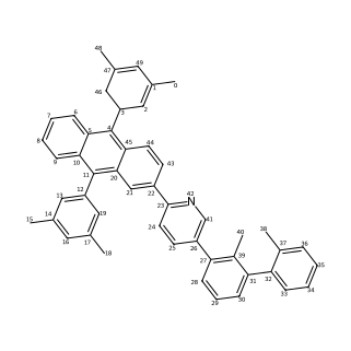 CC1=CC(c2c3ccccc3c(-c3cc(C)cc(C)c3)c3cc(-c4ccc(-c5cccc(-c6ccccc6C)c5C)cn4)ccc23)CC(C)=C1